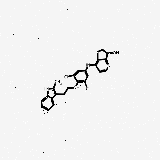 Cc1[nH]c2ccccc2c1CCNc1c(Cl)cc(Nc2ccnc3c2CCC3O)cc1Cl